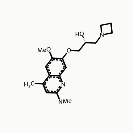 CNc1cc(C)c2cc(OC)c(OC[C@H](O)CN3CCC3)cc2n1